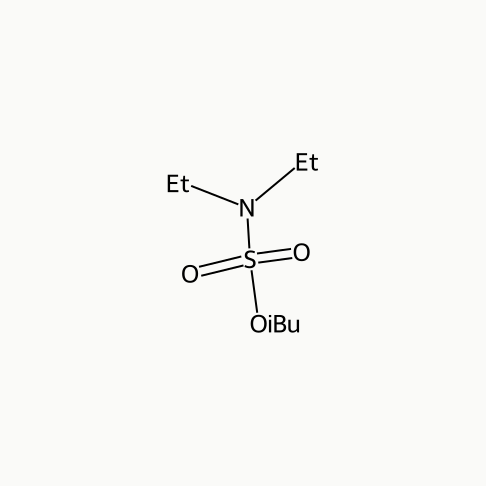 CCN(CC)S(=O)(=O)OC[C](C)C